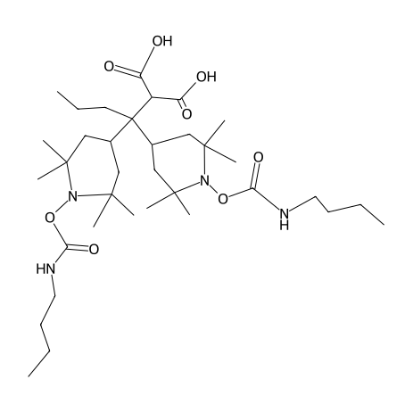 CCCCNC(=O)ON1C(C)(C)CC(C(CCC)(C2CC(C)(C)N(OC(=O)NCCCC)C(C)(C)C2)C(C(=O)O)C(=O)O)CC1(C)C